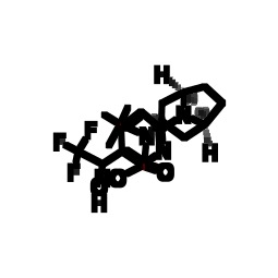 CC(C)(C)N(C(=O)O)[C@H]1C[C@H]2CC[C@@H](C1)N2c1ccc(C(O)C(F)(F)F)cn1